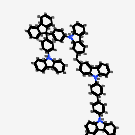 Cc1ccc2c(c1)c1ccccc1n2-c1ccc(-c2ccc(-n3c4ccccc4c4cc(Cc5ccc6c7ccccc7n(-c7ccc(C8(c9ccc(-n%10c%11ccccc%11c%11ccccc%11%10)cc9)c9ccccc9-c9ccccc98)cc7)c6c5)ccc43)cc2)cc1